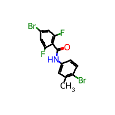 Cc1cc(NC(=O)c2c(F)cc(Br)cc2F)ccc1Br